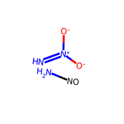 N=[N+]([O-])[O-].NN=O